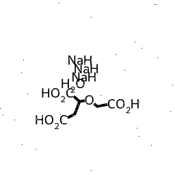 O.O=C(O)COC(CC(=O)O)C(=O)O.[NaH].[NaH].[NaH]